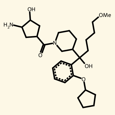 COCCCCC(O)(c1ccccc1OC1CCCC1)C1CCCN(C(=O)C2CC(N)C(O)C2)C1